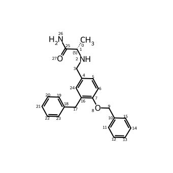 C[C@H](NCc1ccc(OCc2ccccc2)c(Cc2ccccc2)c1)C(N)=O